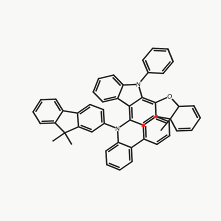 CC1(C)c2ccccc2-c2ccc(N(c3ccccc3-c3ccccc3)c3cc4c(c5c3c3ccccc3n5-c3ccccc3)OC3C=CC=CC43C)cc21